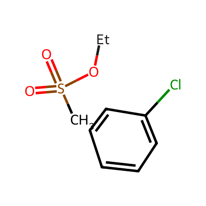 CCOS(C)(=O)=O.Clc1ccccc1